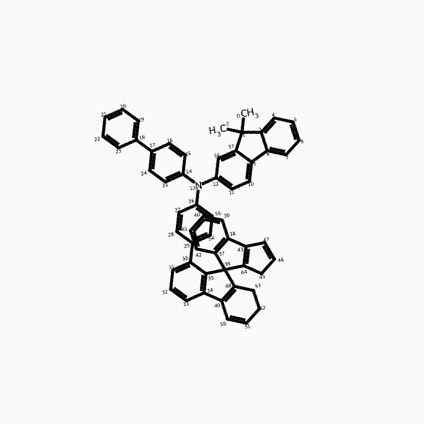 CC1(C)c2ccccc2-c2ccc(N(c3ccc(-c4ccccc4)cc3)c3ccc(-c4cccc5c4C4(C6=C(C=C=C=C6)C6=C4CC=C6)C4=C5C=CCC4)cc3)cc21